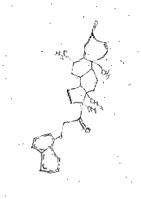 C[C@H]1CC2C(CCC3(C)C2CC[C@]3(O)C(=O)CSc2cccc3cccnc23)C2(C)C=CC(=O)C=C12